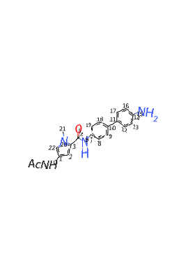 CC(=O)Nc1cc(C(=O)Nc2ccc(-c3ccc(N)cc3)cc2)n(C)c1